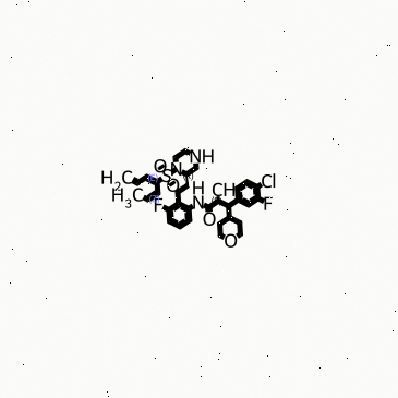 C=C/C=C(\C=C/C)S(=O)(=O)N1CCNC[C@H]1CCc1c(F)cccc1NC(=O)[C@@H](C)C(c1ccc(Cl)c(F)c1)C1CCOCC1